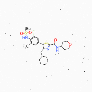 CC(C)(C)S(=O)(=O)Nc1c(F)cc(-c2sc(C(=O)NC3CCOCC3)nc2CC2CCCCC2)cc1C(F)(F)F